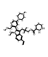 C=Cc1ccc2c(c1)c(CC(C)(C)COC(=O)C1CCCNN1)c(-c1cc(N3CCN(C)CC3)cnc1[C@H](C)OC)n2CC